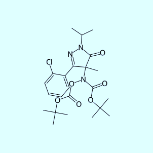 CC(C)N1N=C(c2ccccc2Cl)C(C)(N(OC(=O)OC(C)(C)C)C(=O)OC(C)(C)C)C1=O